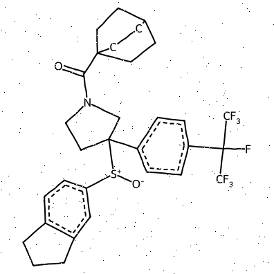 O=C(N1CCC(c2ccc(C(F)(C(F)(F)F)C(F)(F)F)cc2)([S+]([O-])c2ccc3c(c2)CCC3)C1)C12CCC(CC1)CC2